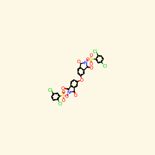 O=C1c2ccc(Oc3ccc4c(c3)C(=O)N(OS(=O)(=O)c3cc(Cl)ccc3Cl)C4=O)cc2C(=O)N1OS(=O)(=O)c1cc(Cl)ccc1Cl